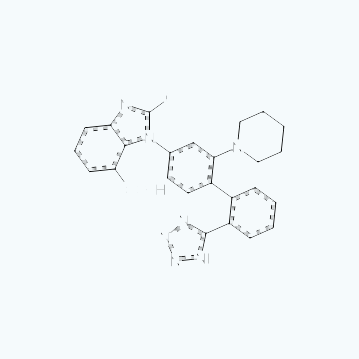 Cc1nc2cccc(C(=O)O)c2n1-c1ccc(-c2ccccc2-c2nnn[nH]2)c(N2CCCCC2)c1